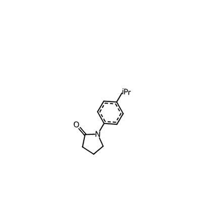 CC(C)c1ccc(N2CCCC2=O)cc1